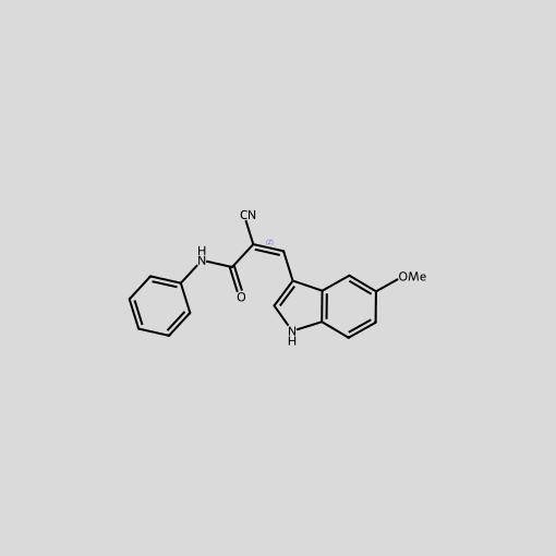 COc1ccc2[nH]cc(/C=C(/C#N)C(=O)Nc3ccccc3)c2c1